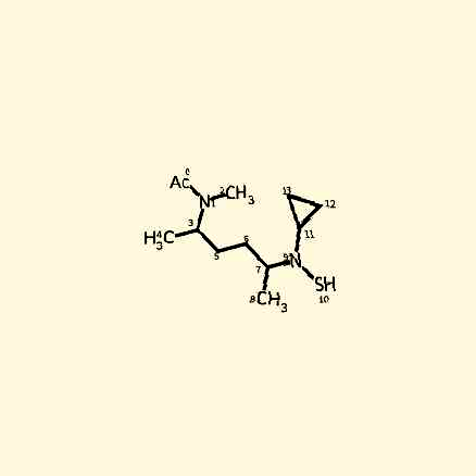 CC(=O)N(C)C(C)CCC(C)N(S)C1CC1